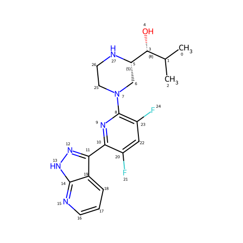 CC(C)[C@@H](O)[C@@H]1CN(c2nc(-c3n[nH]c4ncccc34)c(F)cc2F)CCN1